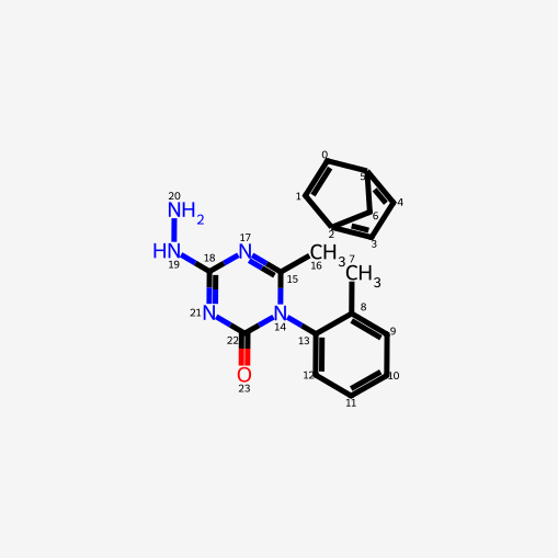 C1=CC2=CC=C1C2.Cc1ccccc1-n1c(C)nc(NN)nc1=O